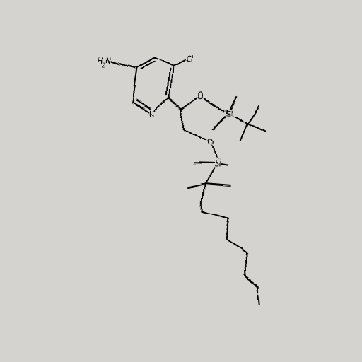 CCCCCCCC(C)(C)[Si](C)(C)OCC(O[Si](C)(C)C(C)(C)C)c1ncc(N)cc1Cl